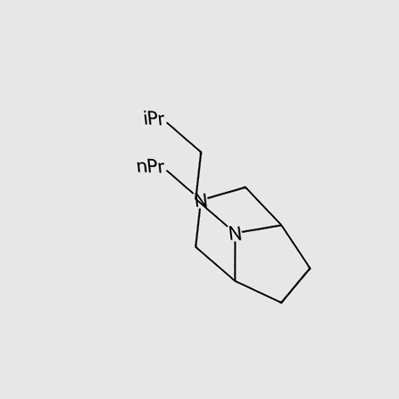 CCCN1CC2CCC(C1)N2CCC(C)C